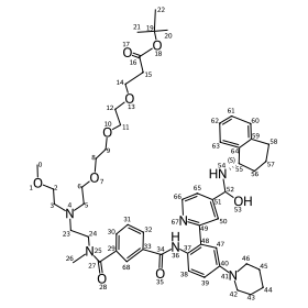 COCCN(CCOCCOCCOCCC(=O)OC(C)(C)C)CCN(C)C(=O)c1cccc(C(=O)Nc2ccc(N3CCCCC3)cc2-c2cc(C(O)N[C@H]3CCCc4ccccc43)ccn2)c1